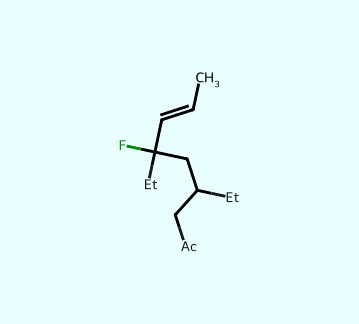 C/C=C/C(F)(CC)CC(CC)CC(C)=O